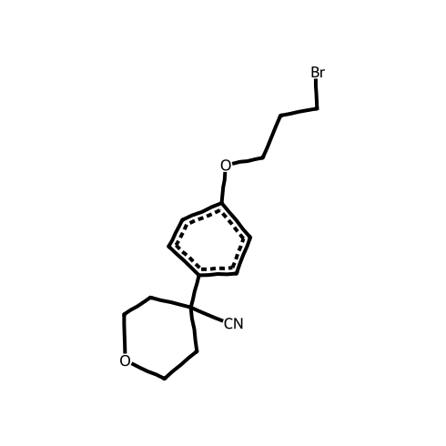 N#CC1(c2ccc(OCCCBr)cc2)CCOCC1